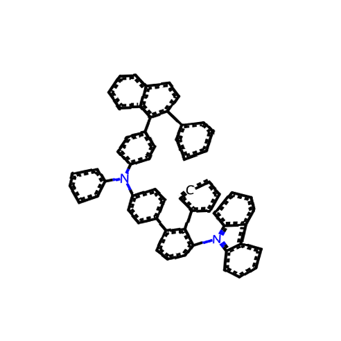 c1ccc(-c2ccc3ccccc3c2-c2ccc(N(c3ccccc3)c3ccc(-c4cccc(-n5c6ccccc6c6ccccc65)c4-c4ccccc4)cc3)cc2)cc1